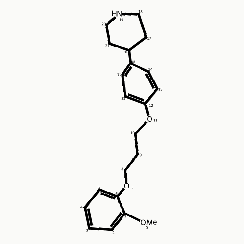 COc1ccccc1OCCCOc1ccc(C2CCNCC2)cc1